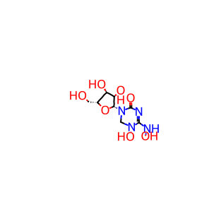 O=C1N=C(NO)N(O)CN1[C@@H]1O[C@H](CO)[C@@H](O)[C@H]1O